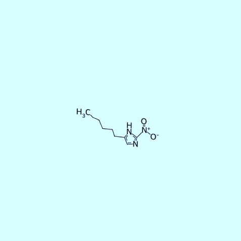 CCCCCCc1cnc([N+](=O)[O-])[nH]1